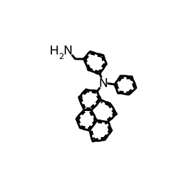 NCc1cccc(N(c2ccccc2)c2ccc3ccc4cccc5ccc2c3c45)c1